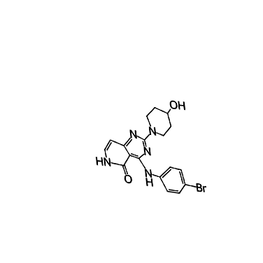 O=c1[nH]ccc2nc(N3CCC(O)CC3)nc(Nc3ccc(Br)cc3)c12